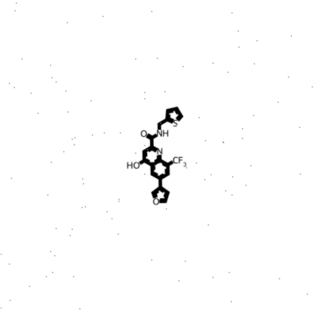 O=C(NCc1cccs1)c1cc(O)c2cc(-c3ccoc3)cc(C(F)(F)F)c2n1